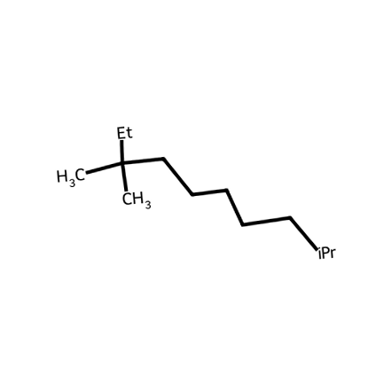 CCC(C)(C)CCCCCC(C)C